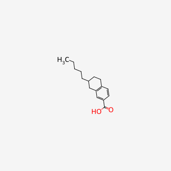 CCCCCC1CCc2ccc(C(=O)O)cc2C1